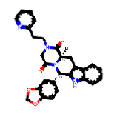 O=C1[C@H]2Cc3c([nH]c4ccccc34)[C@H](c3ccc4c(c3)OCO4)N2C(=O)CN1CCc1ccccn1